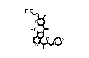 Cc1cc(C(C)N2Cc3c(ccnc3C(C)C(=O)CN3CCOCC3)C2O)cnc1OCC(F)(F)F